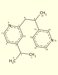 CC(C)c1ccnc(CC(C)c2cccnc2)c1